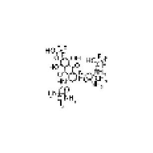 CC(N)(CCNc1ccc(NCCC(C)(N)C(N)=O)c2c1C(=O)c1c(O)ccc(O)c1C2=O)C(N)=O.O=C(O)C(F)(F)F.O=C(O)C(F)(F)F